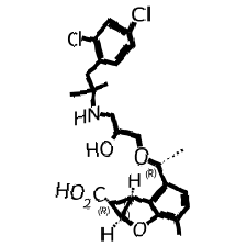 Cc1ccc([C@@H](C)OCC(O)CNC(C)(C)Cc2ccc(Cl)cc2Cl)c2c1O[C@H]1[C@H](C(=O)O)[C@@H]21